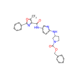 O=C(Nc1ccc(NC2CCN(C(=O)OCc3ccccc3)C2)nc1)c1nc(-c2ccccc2)oc1C(F)(F)F